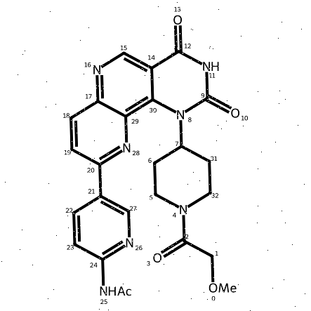 COCC(=O)N1CCC(n2c(=O)[nH]c(=O)c3cnc4ccc(-c5ccc(NC(C)=O)nc5)nc4c32)CC1